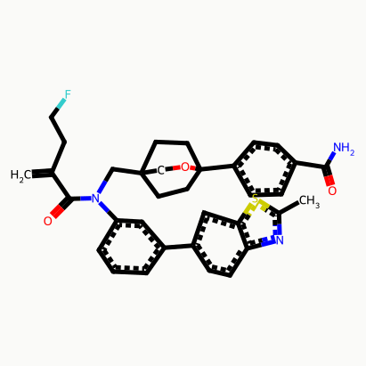 C=C(CCF)C(=O)N(CC12CCC(c3ccc(C(N)=O)cc3)(CC1)OC2)c1cccc(-c2ccc3nc(C)sc3c2)c1